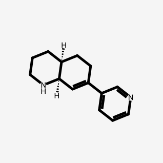 C1=C(c2cccnc2)CC[C@@H]2CCCN[C@H]12